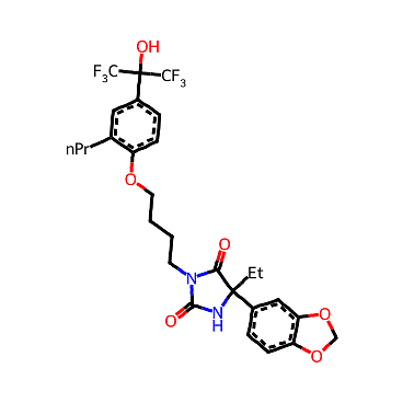 CCCc1cc(C(O)(C(F)(F)F)C(F)(F)F)ccc1OCCCCN1C(=O)NC(CC)(c2ccc3c(c2)OCO3)C1=O